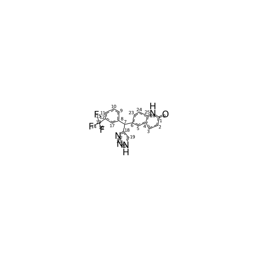 O=c1ccc2cc(C(c3cccc(C(F)(F)F)c3)c3c[nH]nn3)ccc2[nH]1